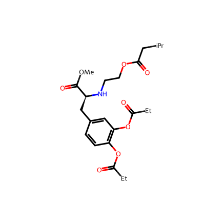 CCC(=O)Oc1ccc(C[C@H](NCCOC(=O)CC(C)C)C(=O)OC)cc1OC(=O)CC